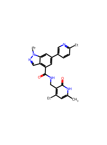 CCc1ccc(-c2cc(C(=O)NCc3c(CC)cc(C)[nH]c3=O)c3cnn(C(C)C)c3c2)cn1